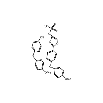 COc1ccc(Oc2ccc(-c3nc(OS(=O)(=O)C(F)(F)F)co3)cc2)cc1.COc1ccc(Oc2ccc(C#N)cc2)cc1